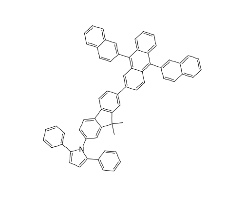 CC1(C)c2cc(-c3ccc4c(-c5ccc6ccccc6c5)c5ccccc5c(-c5ccc6ccccc6c5)c4c3)ccc2-c2ccc(-n3c(-c4ccccc4)ccc3-c3ccccc3)cc21